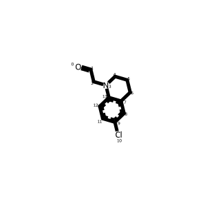 O=CCN1CCCc2cc(Cl)ccc21